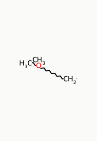 [CH2]CCCCCCCCCOCC(C)C